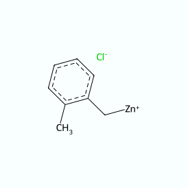 Cc1ccccc1[CH2][Zn+].[Cl-]